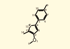 COc1cc(-c2ccc(C)cc2)sc1C